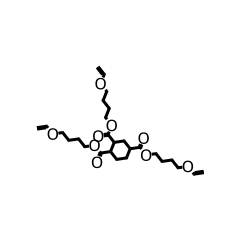 C=COCCCCOC(=O)C1CCC(C(=O)OCCCCOC=C)C(C(=O)OCCCCOC=C)C1